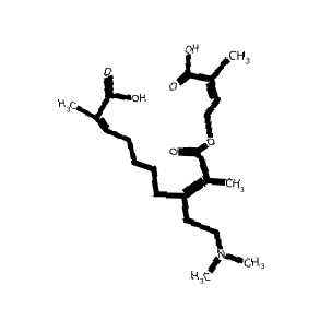 CC(=CCCCCC(CCN(C)C)=C(C)C(=O)OCC=C(C)C(=O)O)C(=O)O